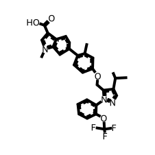 Cc1cc(OCc2c(C(C)C)cnn2-c2ccccc2OC(F)(F)F)ccc1-c1ccc2c(C(=O)O)cn(C)c2c1